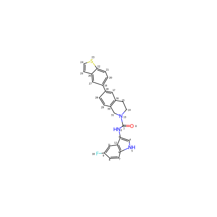 O=C(Nc1c[nH]c2ccc(F)cc12)N1CCc2cc(-c3ccc4sccc4c3)ccc2C1